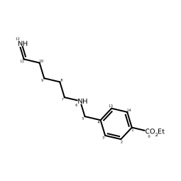 CCOC(=O)c1ccc(CNCCCCC=N)cc1